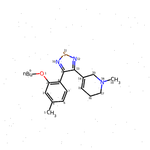 CCCCOc1cc(C)ccc1-c1nsnc1C1=CCCN(C)C1